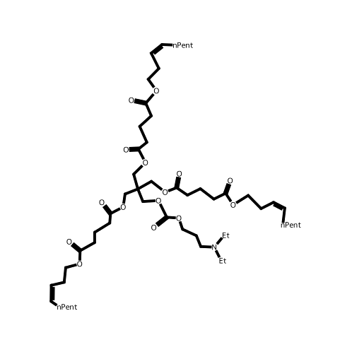 CCCCC/C=C\CCOC(=O)CCCC(=O)OCC(COC(=O)CCCC(=O)OCC/C=C\CCCCC)(COC(=O)CCCC(=O)OCC/C=C\CCCCC)COC(=O)OCCCN(CC)CC